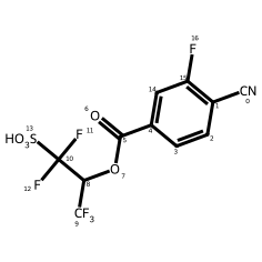 N#Cc1ccc(C(=O)OC(C(F)(F)F)C(F)(F)S(=O)(=O)O)cc1F